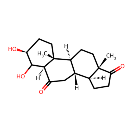 C[C@]12CC[C@H](O)C(O)[C@@H]1C(=O)C[C@@H]1[C@@H]2CC[C@]2(C)C(=O)CC[C@@H]12